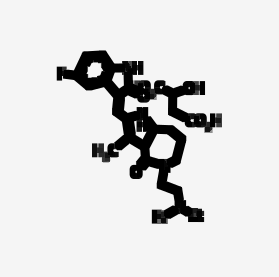 CCN(CC)CCN1CCCC2NC(C=C3C(=O)Nc4ccc(F)cc43)=C(C)C2C1=O.O=C(O)CC(O)C(=O)O